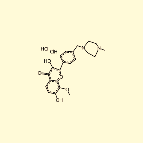 COc1c(O)ccc2c(=O)c(O)c(-c3ccc(CN4CCN(C)CC4)cc3)oc12.Cl.Cl